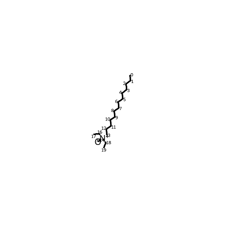 CCCCCCCCCCCCCC[N+]([O-])(CC)CC